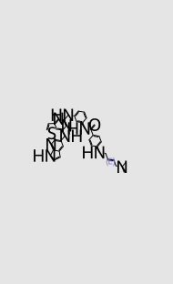 CN(C)C/C=C/CNc1ccc(C(=O)Nc2cccc(Nc3nc(Nc4cnc5[nH]ccc5c4)c4sccc4n3)c2)cc1